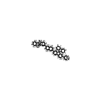 c1ccc(C2(c3ccccc3)c3cc(-c4ccncc4)ccc3-c3ccc(-c4ccc5cc(-c6ccc7nc8c9ccccc9oc8n7c6)ccc5c4)cc32)cc1